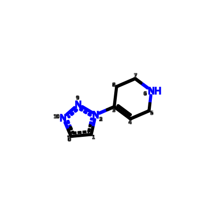 [c]1cn(C2=CCNCC2)nn1